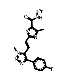 CCCNC(=O)c1sc(C=Cc2c(-c3ccc(F)cc3)nnn2C)nc1C